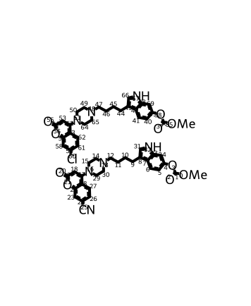 COC(=O)Oc1ccc2c(CCCCN3CCN(c4cc(=O)oc5cc(C#N)ccc45)CC3)c[nH]c2c1.COC(=O)Oc1ccc2c(CCCCN3CCN(c4cc(=O)oc5cc(Cl)ccc45)CC3)c[nH]c2c1